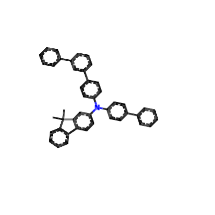 CC1(C)c2ccccc2-c2ccc(N(c3ccc(-c4ccccc4)cc3)c3ccc(-c4cccc(-c5ccccc5)c4)cc3)cc21